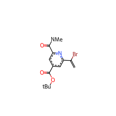 C=C(Br)c1cc(C(=O)OC(C)(C)C)cc(C(=O)NC)n1